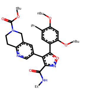 CCCCOc1cc(OCCCC)c(C(C)C)cc1-c1onc(C(=O)NCC)c1-c1cnc2c(c1)CN(C(=O)OC(C)(C)C)CC2